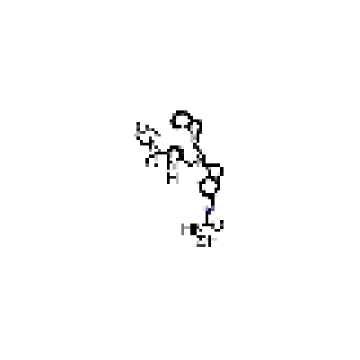 O=C(/C=C/c1ccc2c(c1)CCC2N(CCn1ccc2ccccc21)Cc1ccc(C(=O)N2CCOCC2)[nH]1)NO